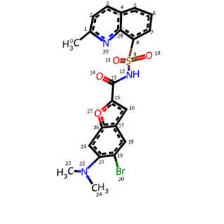 Cc1ccc2cccc(S(=O)(=O)NC(=O)c3cc4cc(Br)c(N(C)C)cc4o3)c2n1